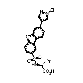 CC(C)[C@@H](NS(=O)(=O)c1ccc2oc3cc(-c4cnn(C)c4)ccc3c2c1)C(=O)O